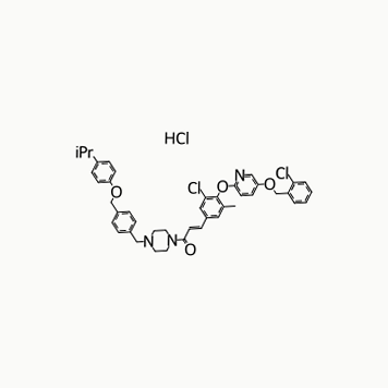 Cc1cc(C=CC(=O)N2CCN(Cc3ccc(COc4ccc(C(C)C)cc4)cc3)CC2)cc(Cl)c1Oc1ccc(OCc2ccccc2Cl)cn1.Cl